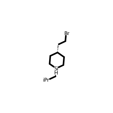 CC(C)C[Si@H]1CC[C@H](CCBr)CC1